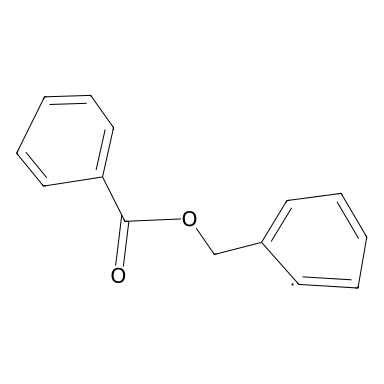 O=C(OCc1[c]cccc1)c1ccccc1